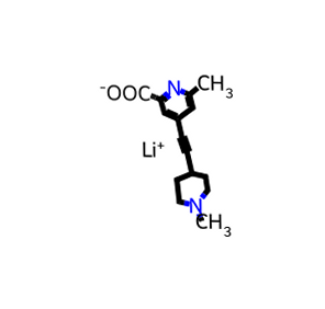 Cc1cc(C#CC2CCN(C)CC2)cc(C(=O)[O-])n1.[Li+]